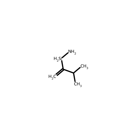 C=C([SiH2]N)C(C)C